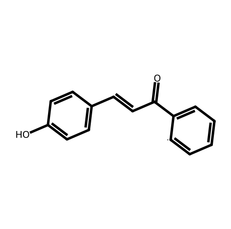 O=C(/C=C/c1ccc(O)cc1)c1[c]cccc1